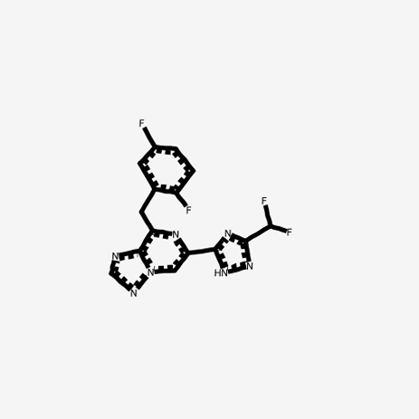 Fc1ccc(F)c(Cc2nc(-c3nc(C(F)F)n[nH]3)cn3ncnc23)c1